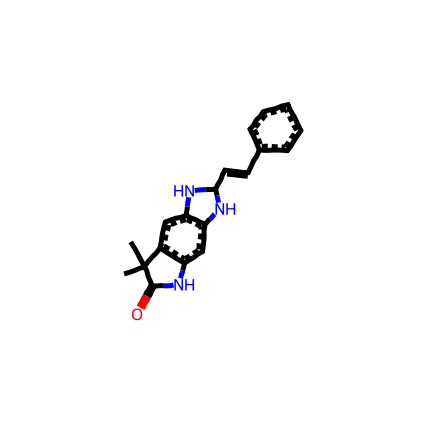 CC1(C)C(=O)Nc2cc3c(cc21)NC(C=Cc1ccccc1)N3